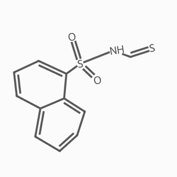 O=S(=O)(NC=S)c1cccc2ccccc12